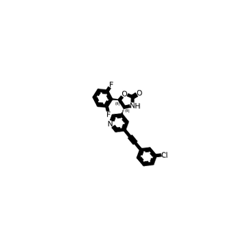 O=C1N[C@H](c2cncc(C#Cc3cccc(Cl)c3)c2)[C@@H](c2c(F)cccc2F)O1